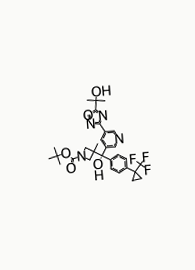 CC(C)(C)OC(=O)N1CC(C)([C@](O)(c2ccc(C3(C(F)(F)F)CC3)cc2)c2cncc(-c3noc(C(C)(C)O)n3)c2)C1